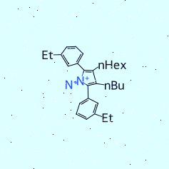 CCCCCCC1=C(c2cccc(CC)c2)[N+](=[N-])C(c2cccc(CC)c2)=C1CCCC